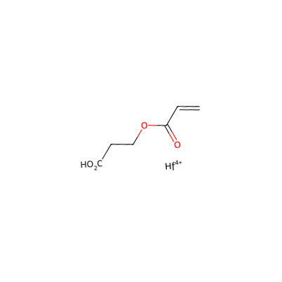 C=CC(=O)OCCC(=O)O.[Hf+4]